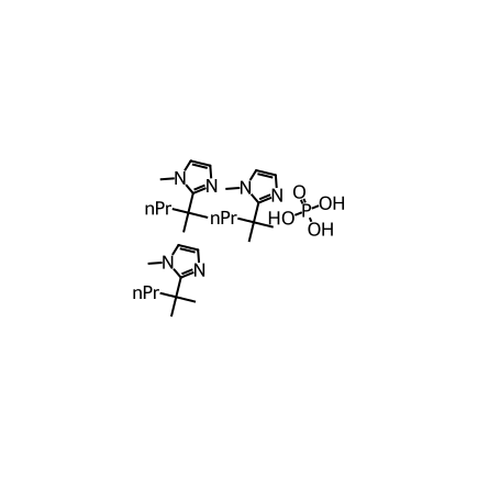 CCCC(C)(C)c1nccn1C.CCCC(C)(C)c1nccn1C.CCCC(C)(C)c1nccn1C.O=P(O)(O)O